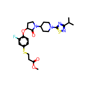 COC(=O)CCSc1ccc(OC2CCN(C3CCN(c4nc(C(C)C)ns4)CC3)C2=O)c(F)c1